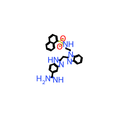 N=C(N)c1ccc2[nH]c(Cc3nc4ccccc4n3CCNS(=O)(=O)c3cccc4ccccc34)nc2c1